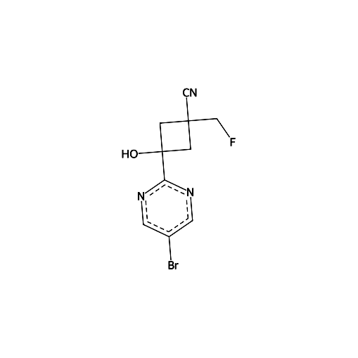 N#CC1(CF)CC(O)(c2ncc(Br)cn2)C1